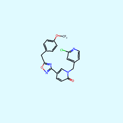 O=c1ccc(-c2noc(Cc3ccc(OC(F)(F)F)cc3)n2)cn1Cc1ccnc(Cl)c1